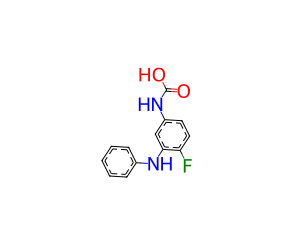 O=C(O)Nc1ccc(F)c(Nc2ccccc2)c1